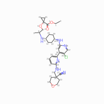 CCOC(=O)C1(OCC(C)N[C@H]2CC[C@H](Nc3cc(-c4cccc(NCC5(C#N)CCOCC5)n4)c(Cl)cn3)CC2)CC1